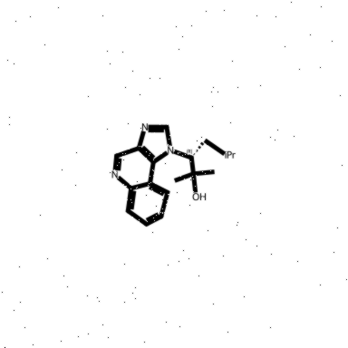 CC(C)C[C@@H](n1cnc2cnc3ccccc3c21)C(C)(C)O